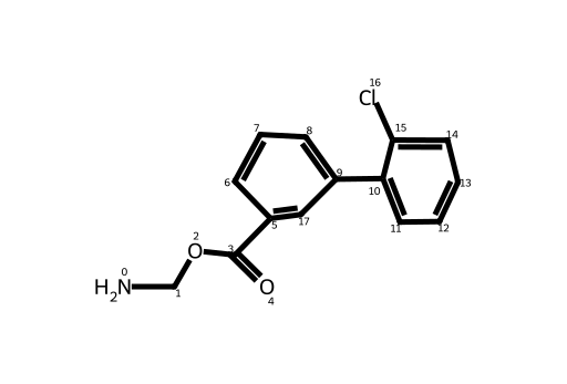 NCOC(=O)c1cccc(-c2ccccc2Cl)c1